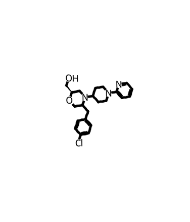 OC[C@H]1CN(C2CCN(c3ccccn3)CC2)C(Cc2ccc(Cl)cc2)CO1